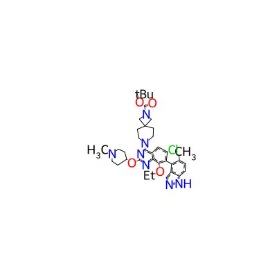 CCOc1c(-c2c(C)ccc3[nH]ncc23)c(Cl)cc2c(N3CCC4(CC3)CN(C(=O)OC(C)(C)C)C4)nc(OC3CCN(C)CC3)nc12